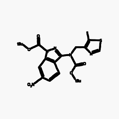 Cc1scnc1CN(C(=O)OC(C)(C)C)c1nn(C(=O)OC(C)(C)C)c2cc([N+](=O)[O-])ccc12